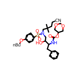 CCCCOc1ccc(S(=O)(=O)N(CC(O)C(Cc2ccccc2)NC(=O)OC2COCOC2)CC(C)(C)CCC#N)cc1